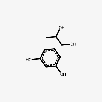 CC(O)CO.Oc1cccc(O)c1